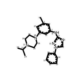 Cc1cc(Nc2ncn(-c3ccccc3)n2)cc(N2CCN(C(C)C)CC2)c1